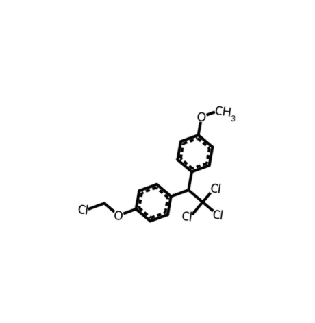 COc1ccc(C(c2ccc(OCCl)cc2)C(Cl)(Cl)Cl)cc1